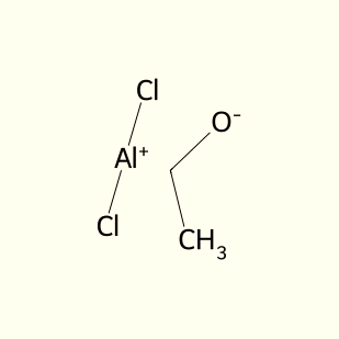 CC[O-].[Cl][Al+][Cl]